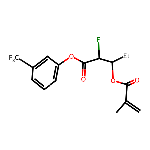 C=C(C)C(=O)OC(CC)C(F)C(=O)Oc1cccc(C(F)(F)F)c1